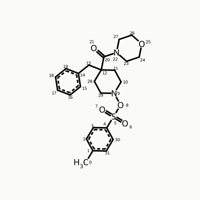 Cc1ccc(S(=O)(=O)ON2CCC(Cc3ccccc3)(C(=O)N3CCOCC3)CC2)cc1